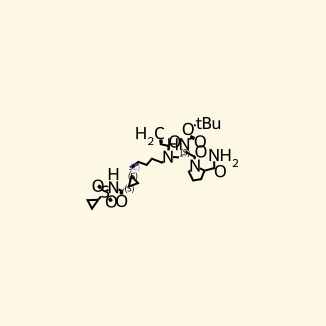 C=CC(=O)N(CCC/C=C\[C@@H]1C[C@@H]1C(=O)NS(=O)(=O)C1CC1)C[C@H](NC(=O)OC(C)(C)C)C(=O)N1CCCC1C(N)=O